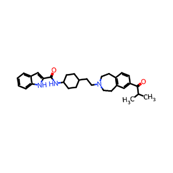 CC(C)C(=O)c1ccc2c(c1)CCN(CCC1CCC(NC(=O)c3cc4ccccc4[nH]3)CC1)CC2